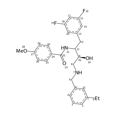 CCc1cccc(CNC[C@H](O)C(Cc2cc(F)cc(F)c2)NC(=O)c2ccc(OC)cc2)c1